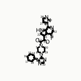 O=C(C(=O)N1CCN(c2ncnn2-c2ccccc2)CC1)c1c[nH]c2c(-n3ccnn3)ncc(F)c12